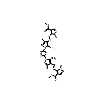 COC(=O)c1cnn(C)c1/N=N/c1c(C)nn(-c2nnc(-n3nc(C)c(/N=N/c4c(C(=O)OC)cnn4C)c3N)s2)c1N